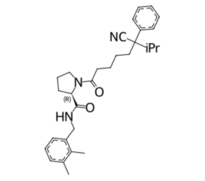 Cc1cccc(CNC(=O)[C@H]2CCCN2C(=O)CCCCC(C#N)(c2ccccc2)C(C)C)c1C